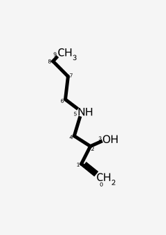 C=CC(O)CNCCCC